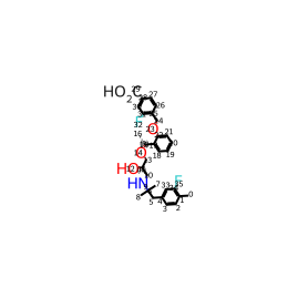 Cc1ccc(CC(C)(C)NC[C@@H](O)CO[C@H](C)c2ccccc2OCc2ccc(C(=O)O)cc2F)cc1F